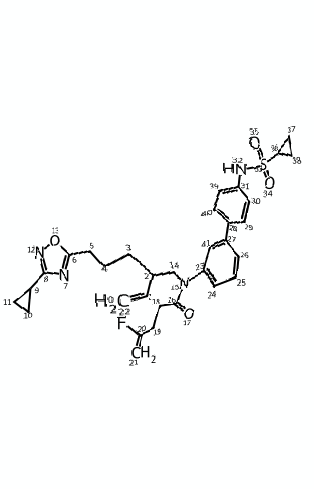 C=CC(CCCc1nc(C2CC2)no1)CN(C(=O)CCC(=C)F)c1cccc(-c2ccc(NS(=O)(=O)C3CC3)cc2)c1